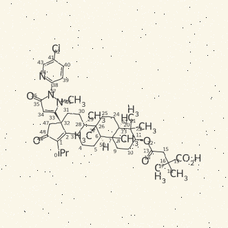 CC(C)C1=C2C3CC[C@@H]4C5(C)CC[C@H](OC(=O)CC(C)(C)C(=O)O)C(C)(C)[C@@H]5CC[C@@]4(C)[C@]3(C)CC[C@@]2(c2cc(=O)n(-c3ccc(Cl)cn3)n2C)CC1=O